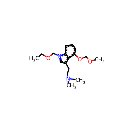 CCOCn1cc(CCN(C)C)c2c(OCOC)cccc21